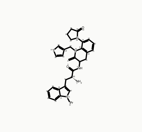 C=C1C(NC(=O)[C@H](N)Cc2cn(C(C)C)c3ccccc23)Cc2cccc(N3CCCC3=O)c2N1Cc1ccsc1